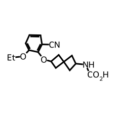 CCOc1cccc(C#N)c1OC1CC2(CC(NC(=O)O)C2)C1